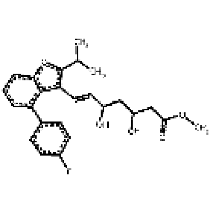 COC(=O)CC(O)CC(O)C=Cc1c(C(C)C)oc2cccc(-c3ccc(F)cc3)c12